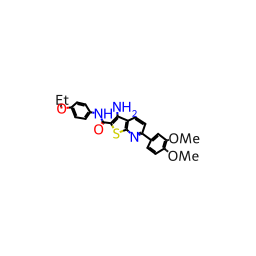 CCOc1ccc(NC(=O)c2sc3nc(-c4ccc(OC)c(OC)c4)ccc3c2N)cc1